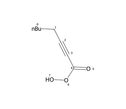 CCCCCC#CC(=O)OO